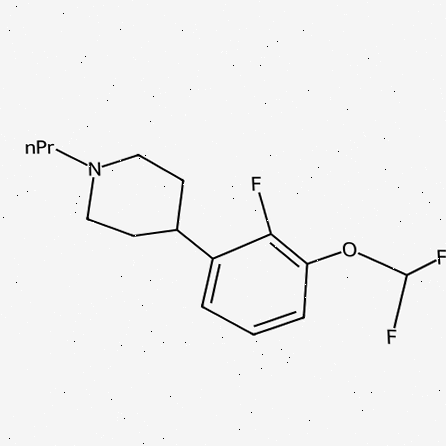 CCCN1CCC(c2cccc(OC(F)F)c2F)CC1